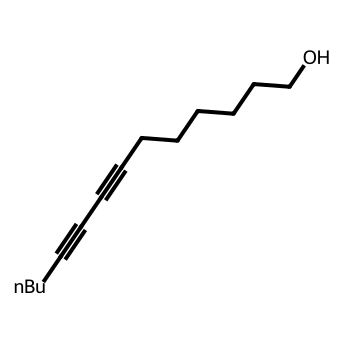 CCCCC#CC#CCCCCCCO